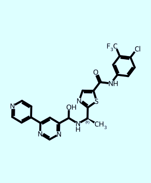 C[C@@H](NC(O)c1cc(-c2ccncc2)ncn1)c1ncc(C(=O)Nc2ccc(Cl)c(C(F)(F)F)c2)s1